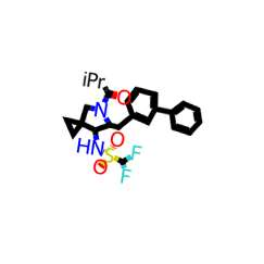 CC(C)C(=O)N1CC2(CC2)C(NS(=O)(=O)C(F)F)C1Cc1cccc(-c2ccccc2)c1